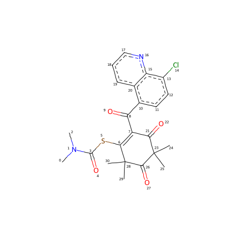 CN(C)C(=O)SC1=C(C(=O)c2ccc(Cl)c3ncccc23)C(=O)C(C)(C)C(=O)C1(C)C